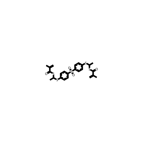 C=C(C)C(=O)SC(C)Sc1ccc(S(=O)(=O)c2ccc(SC(C)SC(=O)C(=C)C)cc2)cc1